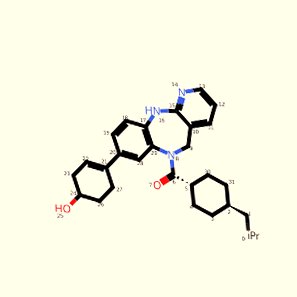 CC(C)C[C@H]1CC[C@H](C(=O)N2Cc3cccnc3Nc3ccc(C4=CCC(O)CC4)cc32)CC1